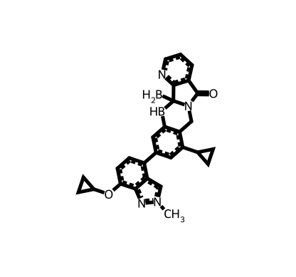 BC12Bc3cc(-c4ccc(OC5CC5)c5nn(C)cc45)cc(C4CC4)c3CN1C(=O)c1cccnc12